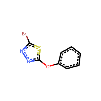 Brc1nnc(Oc2ccccc2)s1